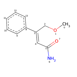 COCC(=CC(N)=O)c1ccccc1